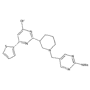 CNc1ncc(CN2CCCC(c3nc(O)cc(-c4cccs4)n3)C2)cn1